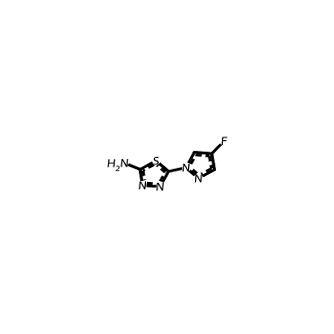 Nc1nnc(-n2cc(F)cn2)s1